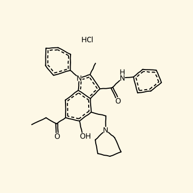 CCC(=O)c1cc2c(c(CN3CCCCC3)c1O)c(C(=O)Nc1ccccc1)c(C)n2-c1ccccc1.Cl